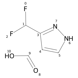 FC(F)c1cc[nH]n1.O=CO